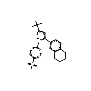 CS(=O)(=O)c1cnc(-n2nc(C(F)(F)F)cc2-c2ccc3c(c2)CCCC3)nn1